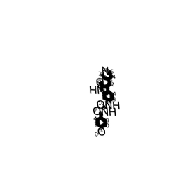 COc1ccc(C(=O)NC(=O)Nc2ccc3c(c2)NC(=O)C3=Cc2ccncc2)cc1